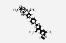 CCc1nc(N2CCC(N3C[C@@H](NC(=O)OC(C)(C)C)[C@H](OC)C3)CC2)ncc1-c1cc(C)c2nccn2c1